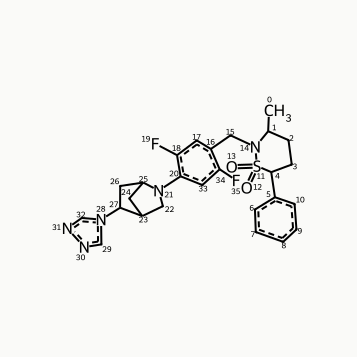 CC1CCC(c2ccccc2)S(=O)(=O)N1Cc1cc(F)c(N2CC3CC2CC3n2cnnc2)cc1F